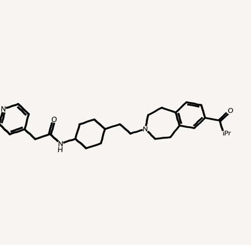 CC(C)C(=O)c1ccc2c(c1)CCN(CCC1CCC(NC(=O)Cc3ccncc3)CC1)CC2